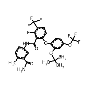 BC(B)(B)Oc1cc(OC(F)(F)F)ccc1Oc1ccc(C(F)(F)F)c(F)c1C(=O)Nc1ccc(C)c(C(N)=O)c1